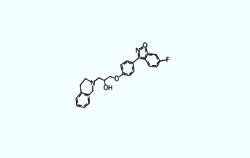 OC(COc1ccc(-c2noc3cc(F)ccc23)cc1)CN1CCc2ccccc2C1